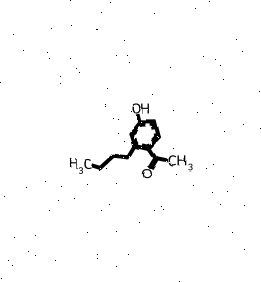 CCCCc1cc(O)ccc1C(C)=O